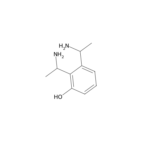 CC(N)c1cccc(O)c1C(C)N